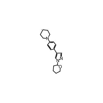 [CH]1CCN(c2ccc(-c3cnn(C4CCCCO4)c3)cc2)CC1